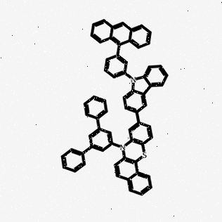 c1ccc(-c2cc(-c3ccccc3)cc(N3c4cc(-c5ccc6c(c5)c5ccccc5n6-c5cccc(-c6c7ccccc7cc7ccccc67)c5)ccc4Sc4c3ccc3ccccc43)c2)cc1